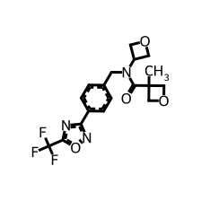 CC1(C(=O)N(Cc2ccc(-c3noc(C(F)(F)F)n3)cc2)C2COC2)COC1